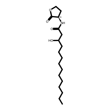 CCCCCCCCCCCC(O)CC(=O)N[C@@H]1CCOC1=O